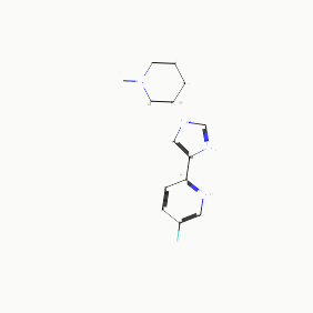 O=C(O)N1CCC[C@H](n2cnc(-c3ccc(F)cn3)c2)C1